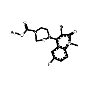 Cn1c(=O)c(Br)c(N2CCN(C(=O)OC(C)(C)C)CC2)c2cc(F)ccc21